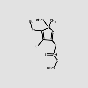 CCCCCCO[PH](=S)OC1=N[N+](C)(CCCCCC)C(SCC)=C1Cl